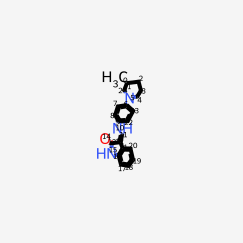 CC1CCCN(c2ccc(NC=C3C(=O)Nc4ccccc43)cc2)C1